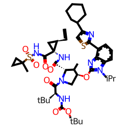 C=C[C@@H]1C[C@]1(NC(=O)[C@@H]1C(C)[C@@H](Oc2nc3c(-c4nc(C5CCCCC5)cs4)cccc3n2C(C)C)CN1C(=O)[C@@H](NC(=O)OC(C)(C)C)C(C)(C)C)C(=O)NS(=O)(=O)C1(C)CC1